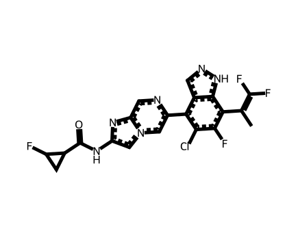 CC(=C(F)F)c1c(F)c(Cl)c(-c2cn3cc(NC(=O)C4CC4F)nc3cn2)c2cn[nH]c12